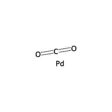 O=C=O.[Pd]